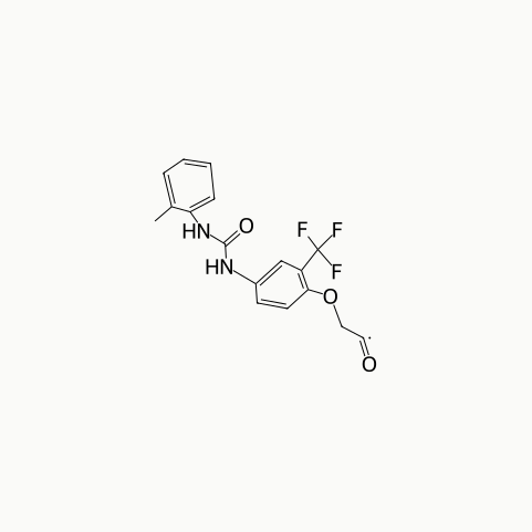 Cc1ccccc1NC(=O)Nc1ccc(OC[C]=O)c(C(F)(F)F)c1